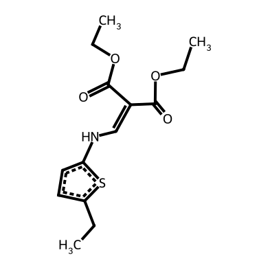 CCOC(=O)C(=CNc1ccc(CC)s1)C(=O)OCC